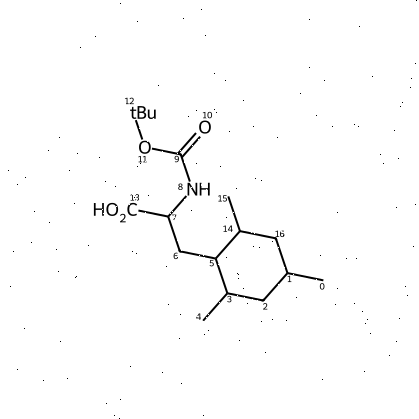 CC1CC(C)C(CC(NC(=O)OC(C)(C)C)C(=O)O)C(C)C1